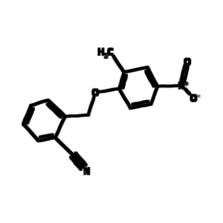 Cc1cc([N+](=O)[O-])ccc1OCc1ccccc1C#N